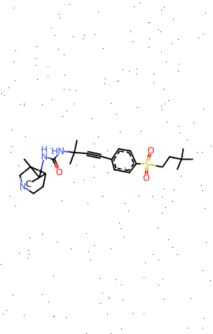 CC(C)(C)CCS(=O)(=O)c1ccc(C#CC(C)(C)NC(=O)NC2(C)CN3CCC2CC3)cc1